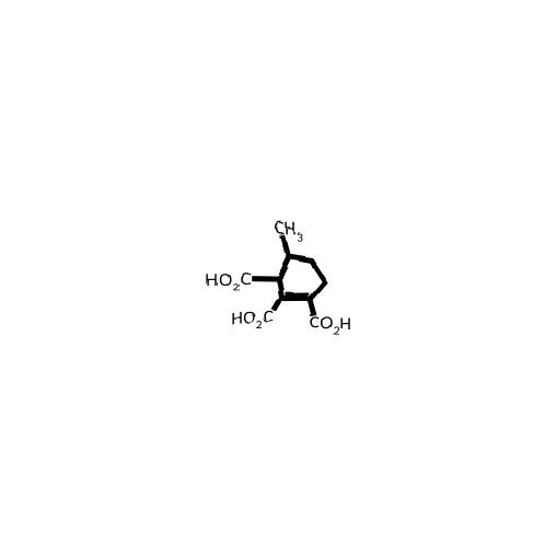 CC1CCC(C(=O)O)=C(C(=O)O)C1C(=O)O